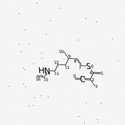 C=C=C(C)C(=C)S/C=C/C(C)CCCNC=C